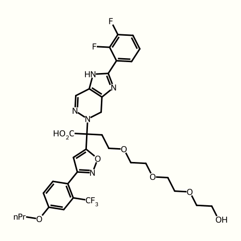 CCCOc1ccc(-c2cc(C(CCOCCOCCOCCO)(C(=O)O)N3Cc4nc(-c5cccc(F)c5F)[nH]c4C=N3)on2)c(C(F)(F)F)c1